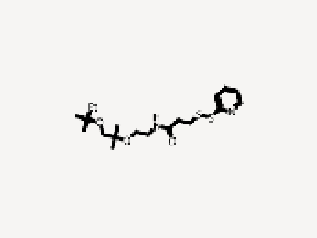 CCC(C)(C)OCC(C)(C)OCCNC(=O)CCSSc1ccccn1